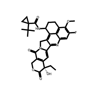 CC[C@@]1(O)C(=O)OCc2c1cc1n(c2=O)Cc2c-1nc1cc(F)c(OC)c3c1c2C(NC(=O)C1(C(C)(C)C)CC1)CC3